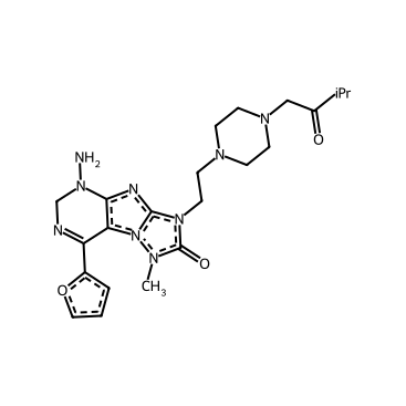 CC(C)C(=O)CN1CCN(CCn2c(=O)n(C)n3c4c(nc23)N(N)CN=C4c2ccco2)CC1